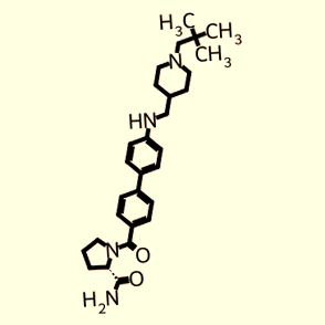 CC(C)(C)CN1CCC(CNc2ccc(-c3ccc(C(=O)N4CCC[C@H]4C(N)=O)cc3)cc2)CC1